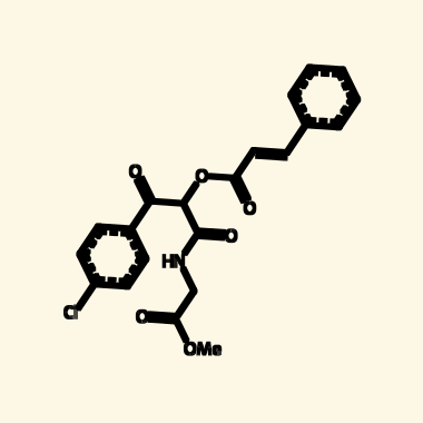 COC(=O)CNC(=O)C(OC(=O)/C=C/c1ccccc1)C(=O)c1ccc(Cl)cc1